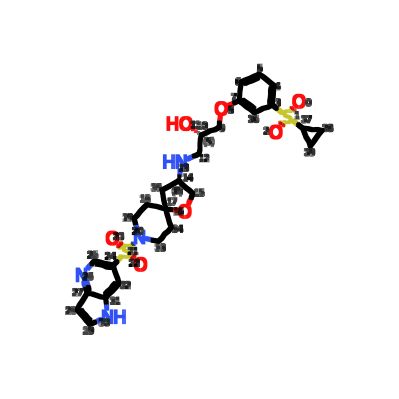 O=S(=O)(c1cccc(OC[C@@H](O)CN[C@H]2COC3(CCN(S(=O)(=O)c4cnc5cc[nH]c5c4)CC3)C2)c1)C1CC1